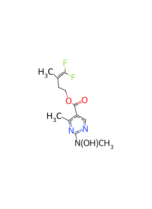 CC(CCOC(=O)c1cnc(N(C)O)nc1C)=C(F)F